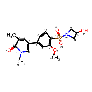 COc1cc(-c2cc(C)c(=O)n(C)c2)ccc1S(=O)(=O)N1CC(O)C1